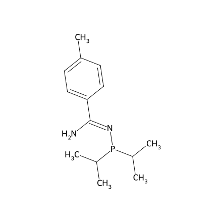 Cc1ccc(C(N)=NP(C(C)C)C(C)C)cc1